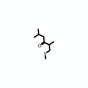 CSCC(C)C(=O)CC(C)C